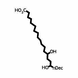 CCCCCCCCCCC(O)CCC(O)CCCCCCCCCCCCC(=O)O